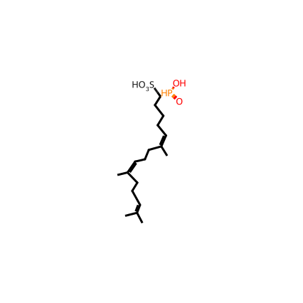 CC(C)=CCCC(C)=CCCC(C)=CCCCC([PH](=O)O)S(=O)(=O)O